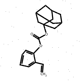 C=Cc1ccccc1OC(=O)OC12CC3CC(CC(C3)C1)C2